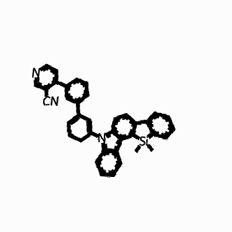 C[Si]1(C)c2ccccc2-c2ccc3c(c21)c1ccccc1n3C1=CC(c2cccc(-c3ccncc3C#N)c2)=CCC1